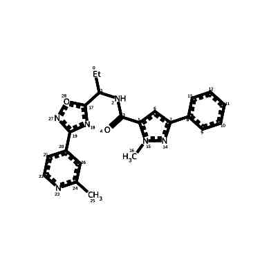 CCC(NC(=O)c1cc(-c2ccccc2)nn1C)c1nc(-c2ccnc(C)c2)no1